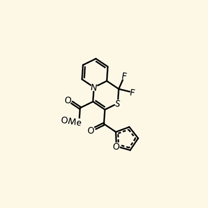 COC(=O)C1=C(C(=O)c2ccco2)SC(F)(F)C2C=CC=CN12